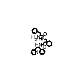 NC(Cc1ccccc1)C(=O)NCC1(CC(=O)NC(Cc2ccccn2)c2ccccc2)CCCCC1